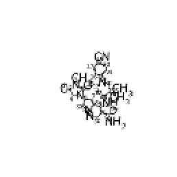 CN1C(=O)CN(c2cc3c(N[C@@H]4CCN(c5ccc(C#N)cc5)CC4(C)C)c(C(N)=O)cnn3c2)C1=O